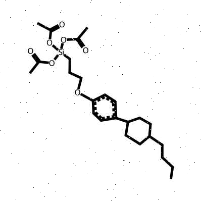 CCCCC1CCC(c2ccc(OCCC[Si](OC(C)=O)(OC(C)=O)OC(C)=O)cc2)CC1